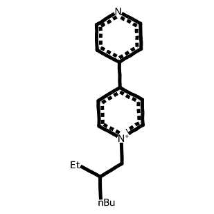 CCCCC(CC)C[n+]1ccc(-c2ccncc2)cc1